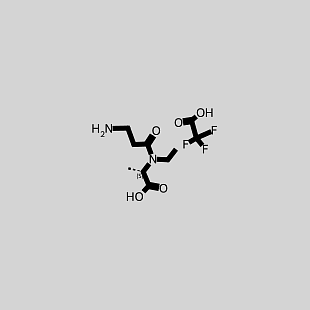 CCN(C(=O)CCN)[C@@H](C)C(=O)O.O=C(O)C(F)(F)F